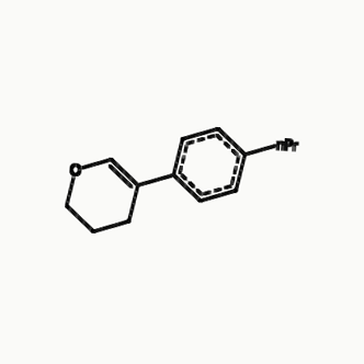 CCCc1ccc(C2=COCCC2)cc1